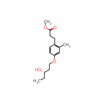 CC[C@H](O)CCOc1ccc(CCC(=O)OC)c(C)c1